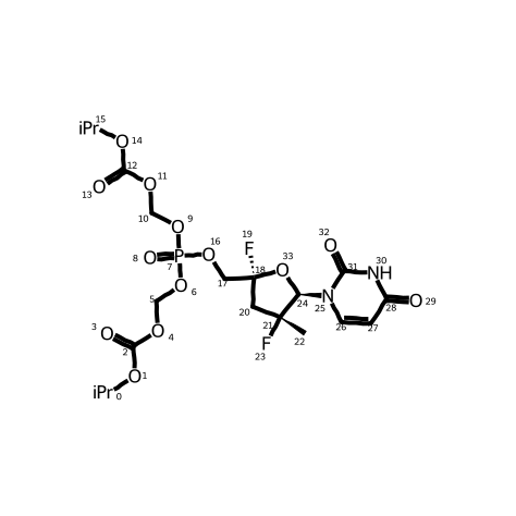 CC(C)OC(=O)OCOP(=O)(OCOC(=O)OC(C)C)OC[C@]1(F)C[C@@](C)(F)[C@H](n2ccc(=O)[nH]c2=O)O1